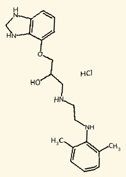 Cc1cccc(C)c1NCCNCC(O)COc1cccc2c1NCN2.Cl